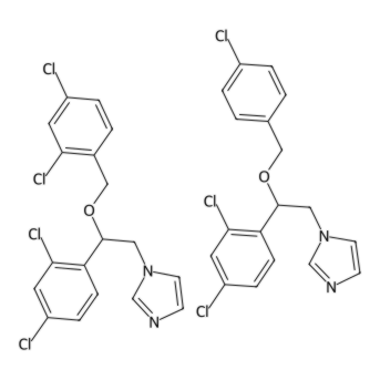 Clc1ccc(COC(Cn2ccnc2)c2ccc(Cl)cc2Cl)c(Cl)c1.Clc1ccc(COC(Cn2ccnc2)c2ccc(Cl)cc2Cl)cc1